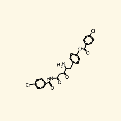 NC(Cc1ccc(OC(=O)c2ccc(Cl)cc2)cc1)C(=O)CC(=O)NC(=O)c1ccc(Cl)cc1